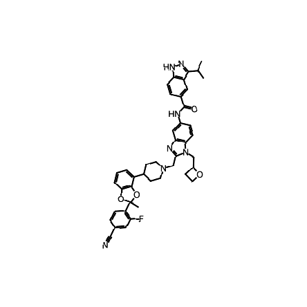 CC(C)c1n[nH]c2ccc(C(=O)Nc3ccc4c(c3)nc(CN3CCC(c5cccc6c5OC(C)(c5ccc(C#N)cc5F)O6)CC3)n4CC3CCO3)cc12